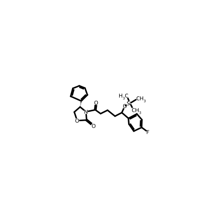 C[Si](C)(C)OC(CCCC(=O)N1C(=O)OC[C@@H]1c1ccccc1)c1ccc(F)cc1